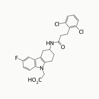 O=C(O)Cn1c2c(c3cc(F)ccc31)CC(NC(=O)CCc1c(Cl)cccc1Cl)CC2